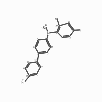 Cc1ccc(N(c2ccc(-c3ccc(C(C)C)cc3)cc2)C(C)(C)C)c(C)c1